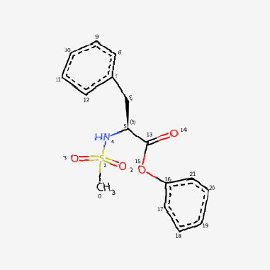 CS(=O)(=O)N[C@@H](Cc1ccccc1)C(=O)Oc1ccccc1